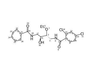 CCO[C@H](CNC(=O)c1ccc(Cl)cc1Cl)[C@@H](O)CNC(=O)c1ccccc1